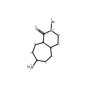 BC1CCC2CCN(C(C)C)C(=O)C2CC1